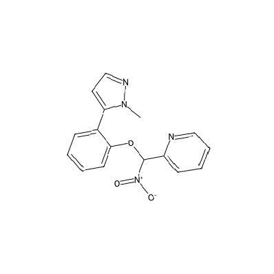 Cn1nccc1-c1ccccc1OC(c1ccccn1)[N+](=O)[O-]